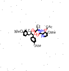 CC[C@H](NC(=O)c1nccc(OC)c1OCOC(C)=O)C(=O)O[C@@H](C)C(Cc1ccc(OC)cc1)Cc1ccc(OC)cc1